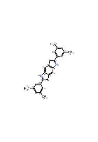 Cc1cc(C)cc(C2=Nc3cc4c(cc3C2)N=C(c2cc(C)cc(C)c2)C4)c1